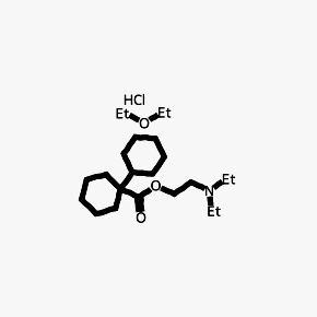 CCN(CC)CCOC(=O)C1(C2CCCCC2)CCCCC1.CCOCC.Cl